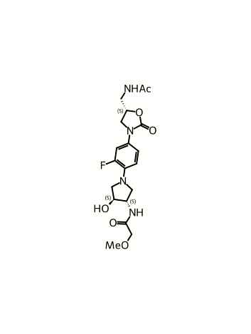 COCC(=O)N[C@H]1CN(c2ccc(N3C[C@H](CNC(C)=O)OC3=O)cc2F)C[C@@H]1O